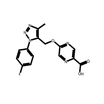 Cc1nnn(-c2ccc(F)cc2)c1COc1cnc(C(=O)O)cn1